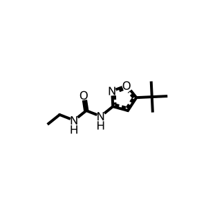 CCNC(=O)Nc1cc(C(C)(C)C)on1